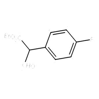 CCOC(=O)C(C=O)c1ccc(F)cc1